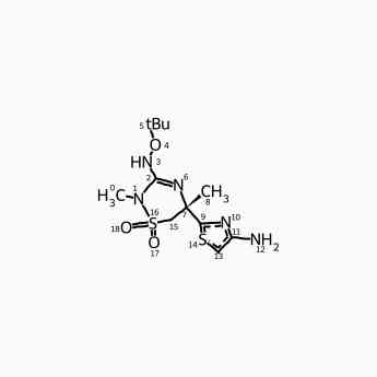 CN1C(NOC(C)(C)C)=N[C@](C)(c2nc(N)cs2)CS1(=O)=O